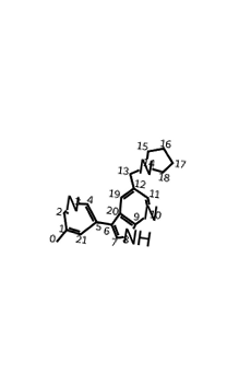 Cc1cncc(-c2c[nH]c3ncc(CN4CCCC4)cc23)c1